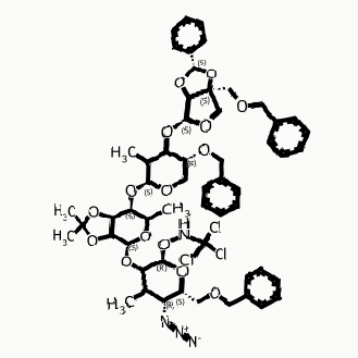 CC1C(O[C@@H]2OC[C@]3(COCc4ccccc4)O[C@@H](c4ccccc4)OC23)[C@H](OCc2ccccc2)CO[C@H]1O[C@H]1C(C)O[C@@H](OC2C(C)[C@@H](N=[N+]=[N-])[C@@H](COCc3ccccc3)O[C@@H]2ONC(Cl)(Cl)Cl)C2OC(C)(C)OC21